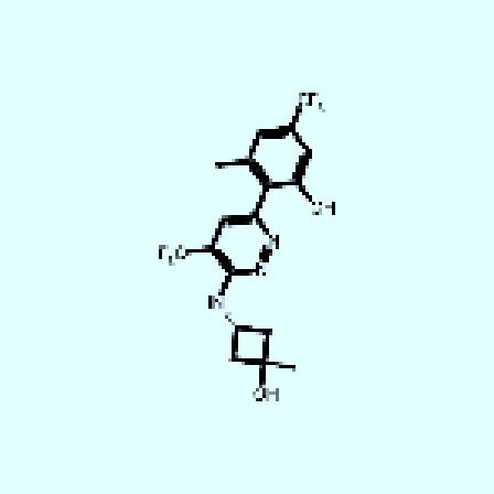 Cc1cc(C(F)(F)F)cc(O)c1-c1cc(C(F)(F)F)c(N[C@H]2C[C@@](C)(O)C2)nn1